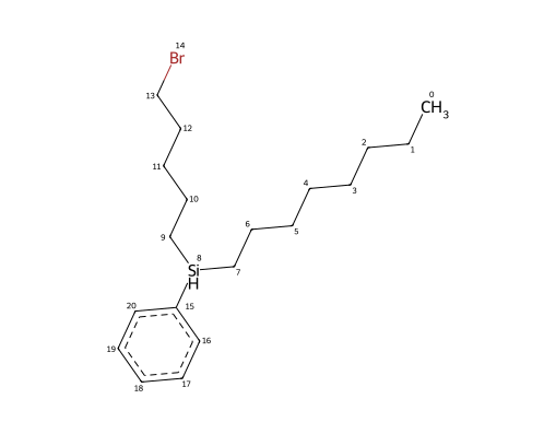 CCCCCCCC[SiH](CCCCCBr)c1ccccc1